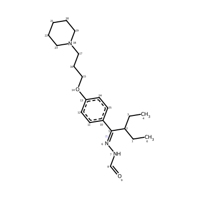 CCC(CC)/C(=N\NC=O)c1ccc(OCCCN2CCCCC2)cc1